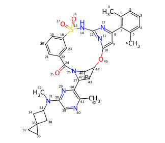 Cc1cccc(C)c1-c1cc2nc(n1)NS(=O)(=O)c1cccc(c1)C(=O)N1C(c3nc(N(C)C4CC5(CC5)C4)cnc3C)CC(O2)C1C(C)C